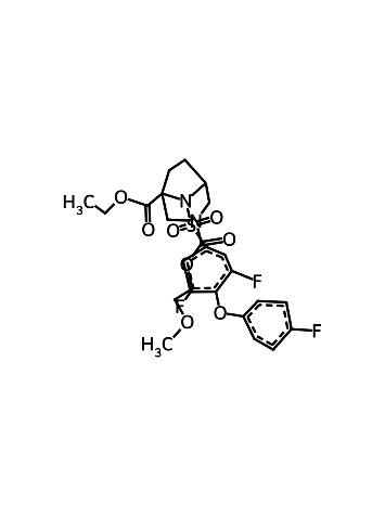 CCOC(=O)C12CCC(CN(C(=O)OCCOC)C1)N2S(=O)(=O)c1cc(F)c(Oc2ccc(F)cc2)c(F)c1